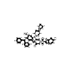 N#Cc1ccc(CN2C(=O)CN(S(=O)(=O)c3cc4ccc(Cl)cc4s3)C[C@@H]2CN2CCC(N3CCCC3)CC2)cc1N=C(c1ccccc1)c1ccccc1